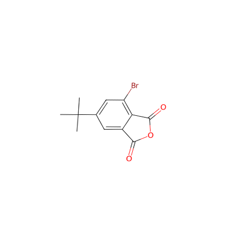 CC(C)(C)c1cc(Br)c2c(c1)C(=O)OC2=O